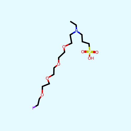 CCN(CCCS(=O)(=O)O)CCOCCOCCOCCOCCI